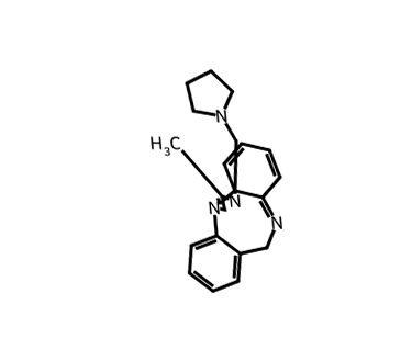 CC1=CN2c3ccccc3CN=C3C=CC=CC32N1CN1CCCC1